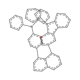 c1ccc(N(c2ccccc2)c2ccc(-c3cccc4cccc(-c5ccc6c(c5)c5ccccc5n6-c5ccccc5)c34)cc2)cc1